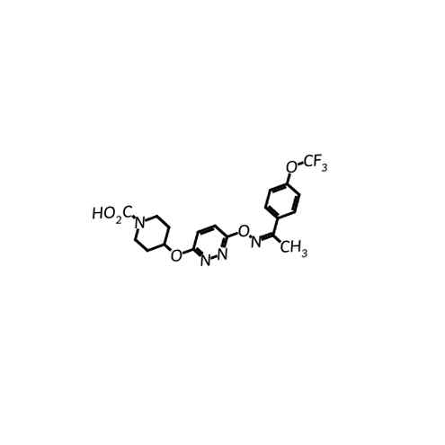 C/C(=N/Oc1ccc(OC2CCN(C(=O)O)CC2)nn1)c1ccc(OC(F)(F)F)cc1